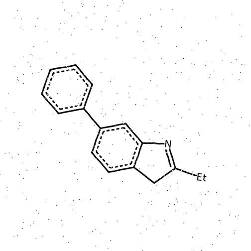 CCC1=Nc2cc(-c3ccccc3)ccc2C1